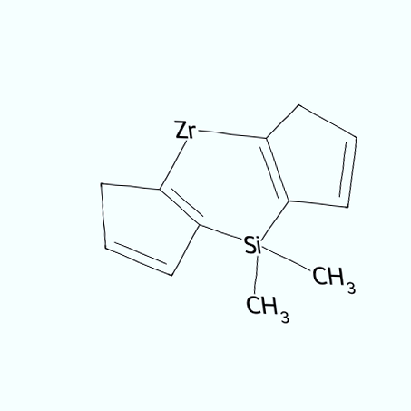 C[Si]1(C)C2=[C](CC=C2)[Zr][C]2=C1C=CC2